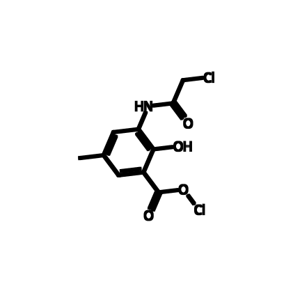 Cc1cc(NC(=O)CCl)c(O)c(C(=O)OCl)c1